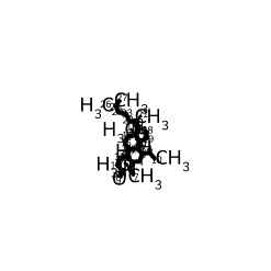 CCCC1CC2N(C)C(=O)CC[C@]2(C)[C@H]2CC[C@]3(C)[C@@H]([C@H](C)CCCC(C)C)CC[C@H]3[C@H]12